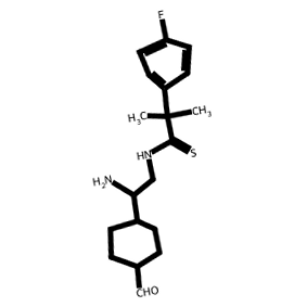 CC(C)(C(=S)NCC(N)C1CCC(C=O)CC1)c1ccc(F)cc1